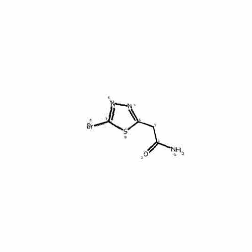 NC(=O)Cc1nnc(Br)s1